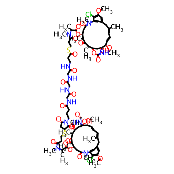 COc1cc2cc(c1Cl)N(C)C(=O)CC(OC(=O)C(C)N(C)C(=O)CCSC1CC(=O)N(CCCC(=O)NCC(=O)NCC(=O)NCC(=O)NCCC(=O)SCCC(=O)N(C)C(C)C(=O)OC3CC(=O)N(C)c4cc(cc(OC)c4Cl)C/C(C)=C/C=C/C(OC)C4(O)CC(OC(=O)N4)C(C)C4OC34C)C1=O)C1(C)OC1C(C)C(OC)CC(O)(NC=O)C(OC)/C=C/C=C(\C)C2